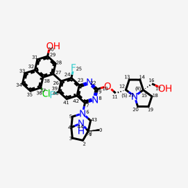 C[C@]12CCC(CN(c3nc(OC[C@@H]4CC[C@@]5(CO)CCCN45)nc4c(F)c(-c5cc(O)cc6cccc(Cl)c56)c(F)cc34)C1)N2